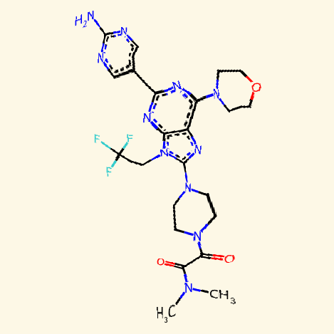 CN(C)C(=O)C(=O)N1CCN(c2nc3c(N4CCOCC4)nc(-c4cnc(N)nc4)nc3n2CC(F)(F)F)CC1